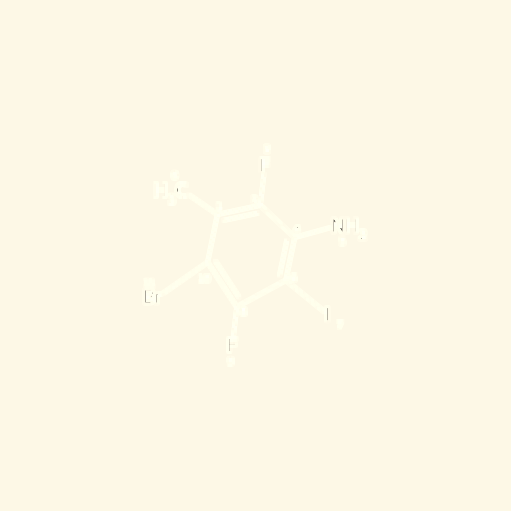 Cc1c(F)c(N)c(I)c(F)c1Br